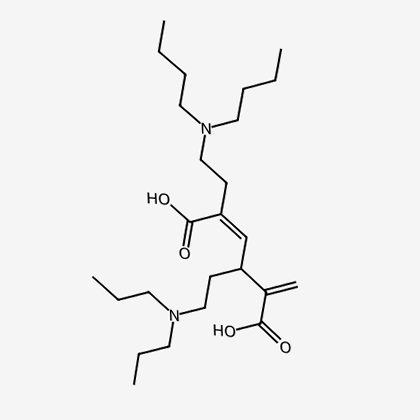 C=C(C(=O)O)C(C=C(CCN(CCCC)CCCC)C(=O)O)CCN(CCC)CCC